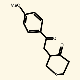 COc1ccc(C(=O)CC2CSCCC2=O)cc1